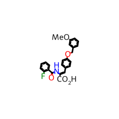 COc1cccc(COc2ccc(C=C(NC(=O)c3ccccc3F)C(=O)O)cc2)c1